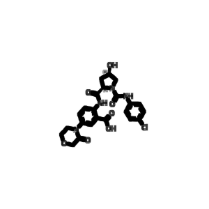 O=C(O)c1cc(N2CCOCC2=O)ccc1NC(=O)[C@H]1C[C@@H](O)CN1C(=O)Nc1ccc(Cl)cc1